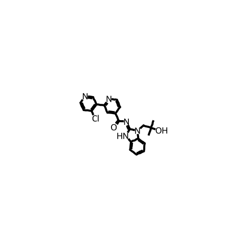 CC(C)(O)Cn1/c(=N/C(=O)c2ccnc(-c3cnccc3Cl)c2)[nH]c2ccccc21